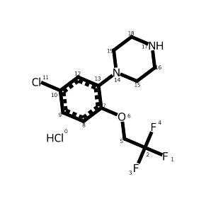 Cl.FC(F)(F)COc1ccc(Cl)cc1N1CCNCC1